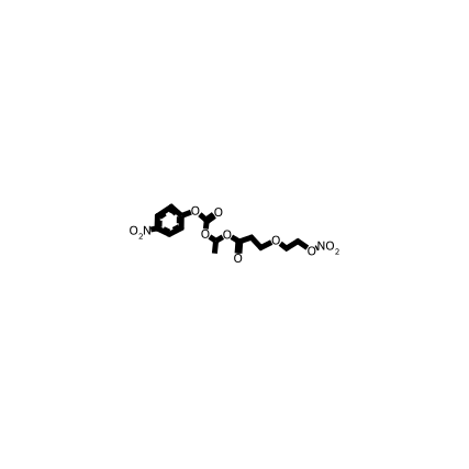 CC(OC(=O)CCOCCO[N+](=O)[O-])OC(=O)Oc1ccc([N+](=O)[O-])cc1